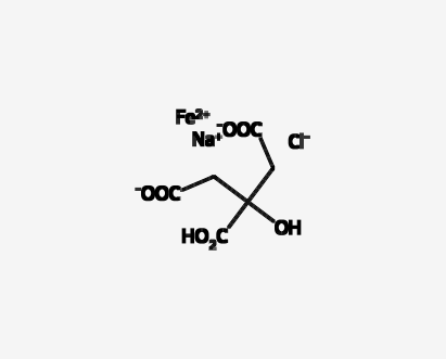 O=C([O-])CC(O)(CC(=O)[O-])C(=O)O.[Cl-].[Fe+2].[Na+]